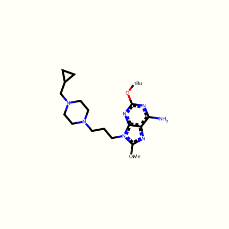 CCCCOc1nc(N)c2nc(OC)n(CCCN3CCN(CC4CC4)CC3)c2n1